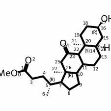 COC(=O)CC[C@@H](C)C1CCC2C3CC[C@@H]4C[C@H](O)CC[C@]4(C)C3C(=O)C[C@@]21C